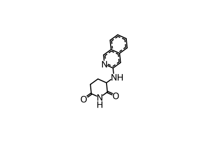 O=C1CCC(Nc2cc3ccccc3cn2)C(=O)N1